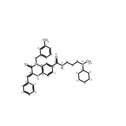 Cc1cccc(CN2C(=O)/C(=C/c3ccccc3)Sc3ccc(C(=O)NCCCN(C)C4CCCCC4)cc32)c1